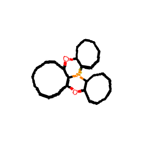 S=P12C3CCCCCCCC3OC3CCCCCCCCC(OC4CCCCCCC41)C32